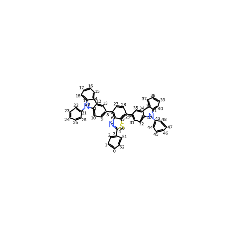 c1ccc(-c2nc3c(-c4ccc5c(c4)c4ccccc4n5-c4ccccc4)ccc(-c4ccc5c(c4)c4ccccc4n5-c4ccccc4)c3s2)cc1